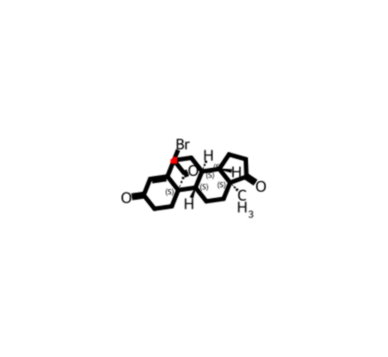 C[C@]12CC[C@H]3[C@@H](CCC4=CC(=O)CC[C@@]43C(=O)CBr)[C@@H]1CCC2=O